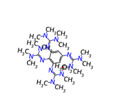 CN(C)C(=Nc1cc(N=C(N(C)C)N(C)C)c(N=C(N(C)C)N(C)C)c(N=C(N(C)C)N(C)C)c1)N(C)C